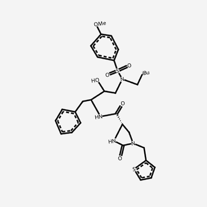 CCC(C)CN(CC(O)C(Cc1ccccc1)NC(=O)[C@@H]1CN(Cc2cccs2)C(=O)N1)S(=O)(=O)c1ccc(OC)cc1